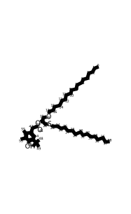 CCCCCCCCCCCCCCCCCCOCC(CSCCCCCCCCCCCCCCCC)OC(=O)Cc1cc(C(C)(C)C)c(O)c(C)c1C